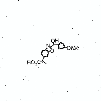 COc1ccc(C(O)c2nc3ccc(C(C)C(=O)O)cc3o2)cc1